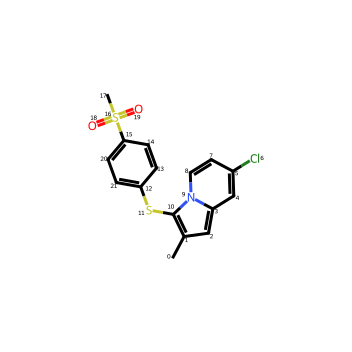 Cc1cc2cc(Cl)ccn2c1Sc1ccc(S(C)(=O)=O)cc1